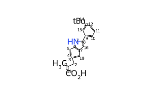 CC(Cc1ccc2[nH]c(-c3cccc(C(C)(C)C)c3)cc2c1)C(=O)O